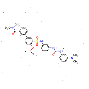 CCOc1ccc(-c2cccc(C(=O)N(C)C)c2)cc1S(=O)(=O)Nc1cccc(NC(=O)Nc2cccc(N(C)C)c2)c1